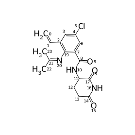 C=Cc1cc(Cl)cc(C(=O)NC2CCC(=O)NC2=O)c1N=C(C)C